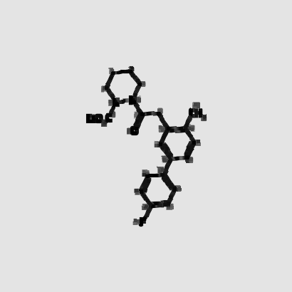 CCOC(=O)N1CCCCN1C(=O)Cc1cc(-c2ccc(F)cc2)ccc1C